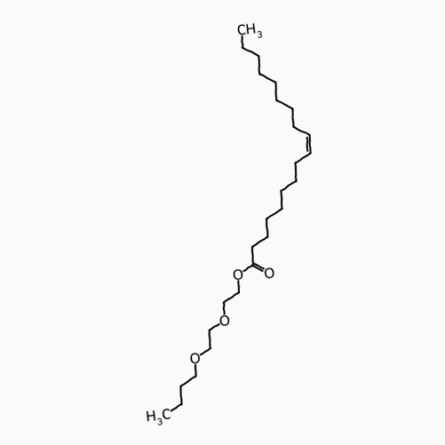 CCCCCCCC/C=C\CCCCCCCC(=O)OCCOCCOCCCC